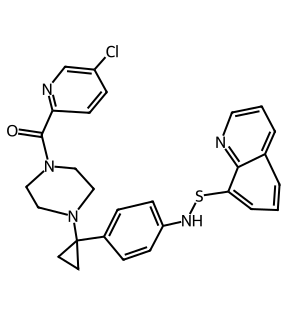 O=C(c1ccc(Cl)cn1)N1CCN(C2(c3ccc(NSc4cccc5cccnc45)cc3)CC2)CC1